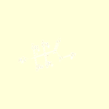 CC(C)OC(=O)C(C)(C)C(C)(C)C(C)(C)C